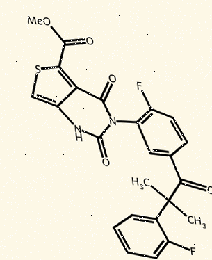 COC(=O)c1scc2[nH]c(=O)n(-c3cc(C(=O)C(C)(C)c4ccccc4F)ccc3F)c(=O)c12